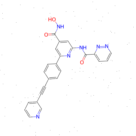 O=C(NO)c1cc(NC(=O)c2cccnn2)nc(-c2ccc(C#Cc3cccnc3)cc2)c1